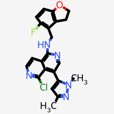 Cc1cc(-c2cnc(NCc3c(F)ccc4c3CCO4)c3ccnc(Cl)c23)n(C)n1